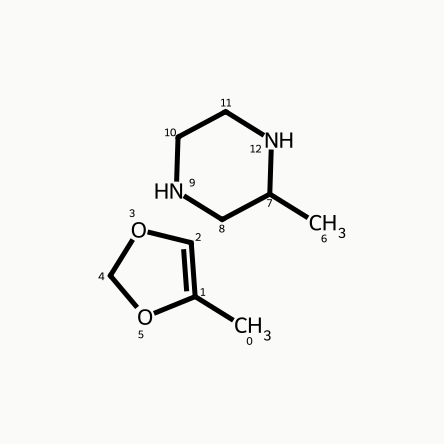 CC1=COCO1.CC1CNCCN1